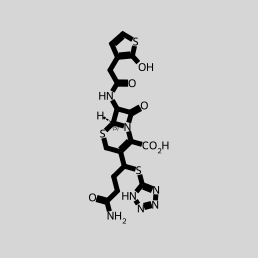 NC(=O)CCC(Sc1nnn[nH]1)C1=C(C(=O)O)N2C(=O)C(NC(=O)Cc3ccsc3O)[C@@H]2SC1